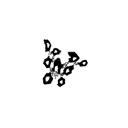 C=C1/C(=C\C2=C(C)N(c3ccccc3)c3cccc4c3B2c2ccccc2N4c2ccccc2)B2c3ccccc3N(c3ccccc3)c3cccc(c32)N1c1ccccc1